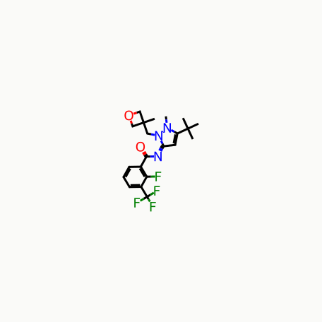 Cn1c(C(C)(C)C)c/c(=N/C(=O)c2cccc(C(F)(F)F)c2F)n1CC1(C)COC1